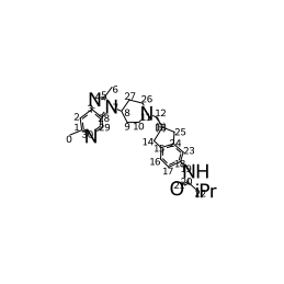 Cc1cc2nc(C)n(C3CCN(C[C@@H]4Cc5ccc(NC(=O)C(C)C)cc5C4)CC3)c2cn1